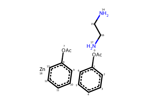 CC(=O)Oc1ccccc1.CC(=O)Oc1ccccc1.NCCN.[Zn]